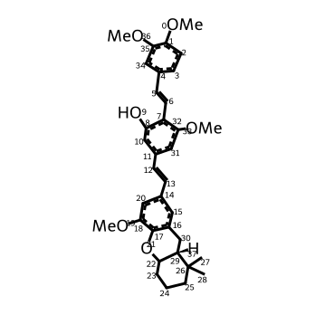 COc1ccc(/C=C/c2c(O)cc(/C=C/c3cc4c(c(OC)c3)OC3CCCC(C)(C)[C@H]3C4)cc2OC)cc1OC